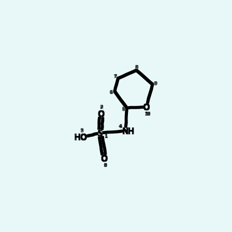 O=S(=O)(O)NC1CCCCO1